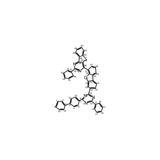 c1ccc(-c2ccc(-c3nc(-c4ccccc4)nc(-c4ccc5c(c4)oc4c(-c6nc(-c7ccccc7)nc7c6sc6ccccc67)cccc45)n3)cc2)cc1